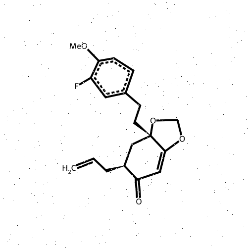 C=CC[C@H]1C[C@]2(CCc3ccc(OC)c(F)c3)OCOC2=CC1=O